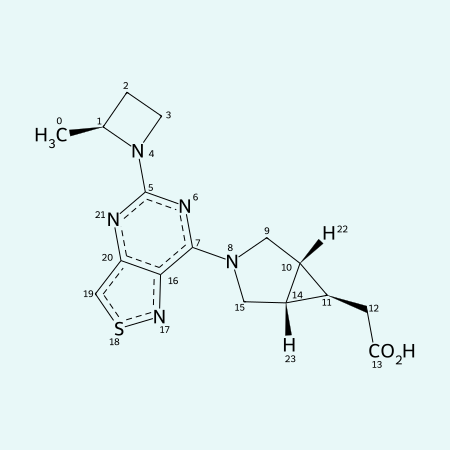 C[C@H]1CCN1c1nc(N2C[C@@H]3[C@@H](CC(=O)O)[C@@H]3C2)c2nscc2n1